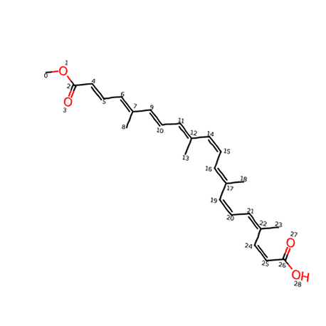 COC(=O)/C=C/C=C(C)/C=C/C=C(C)/C=C\C=C(C)\C=C/C=C(C)\C=C/C(=O)O